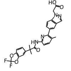 Cc1ccc(NC(=O)C(C)(C)c2ccc3c(c2)OC(F)(F)O3)nc1-c1ccc2c(cnn2CC(=O)O)c1